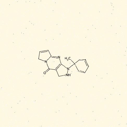 CC1(N2NCc3c2nc2n(c3=O)CC=C2)C=CC=CC1